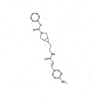 Nc1ccc(/C=C/C(=O)NCCC2C3CN(C(=O)Oc4ccccc4)CC23)cn1